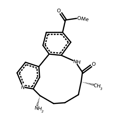 COC(=O)c1ccc2c(c1)NC(=O)[C@H](C)CCC[C@H](N)c1cc-2ccn1